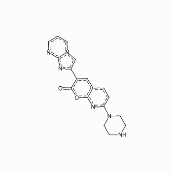 O=c1oc2nc(N3CCNCC3)ccc2cc1-c1cn2cccnc2n1